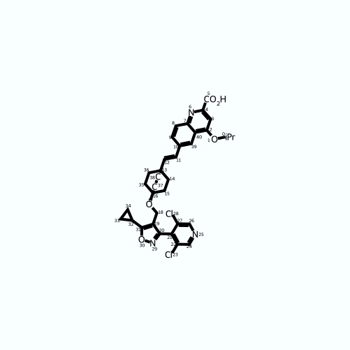 CC(C)Oc1cc(C(=O)O)nc2ccc(C=CC34CCC(OCc5c(-c6c(Cl)cncc6Cl)noc5C5CC5)(CC3)CC4)cc12